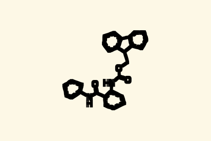 O=C(Nc1ccccc1C(=O)Nc1ccccc1)OCC1c2ccccc2-c2ccccc21